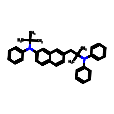 CC(C)(C)N(c1ccccc1)c1ccc2ccc(CC(C)(C)N(c3ccccc3)c3ccccc3)cc2c1